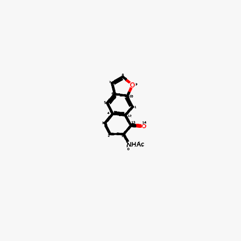 CC(=O)NC1CCc2cc3ccoc3cc2C1=O